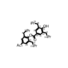 CC(=O)c1cc(CC(C)C)c(OC(=O)c2cc(CC(C)C)c(O)c(CC(C)C)c2)c(CC(C)C)c1